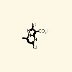 CCc1nn2c(C)cc(Cl)nc2c1C(=O)O